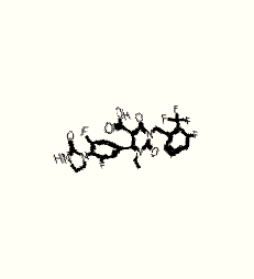 CCn1c(-c2cc(F)c(N3CCNC3=O)c(F)c2)c(C(=O)O)c(=O)n(Cc2cccc(F)c2C(F)(F)F)c1=O